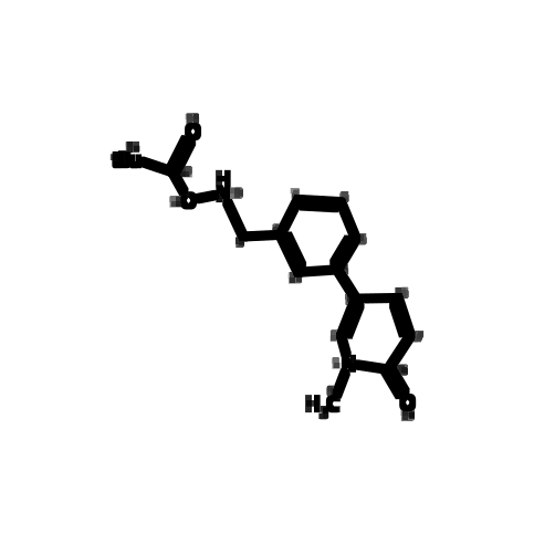 Cn1cc(-c2cccc(CNOC(=O)C(C)(C)C)c2)ccc1=O